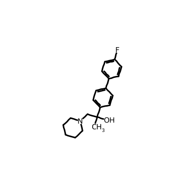 CC(O)(CN1CCCCC1)c1ccc(-c2ccc(F)cc2)cc1